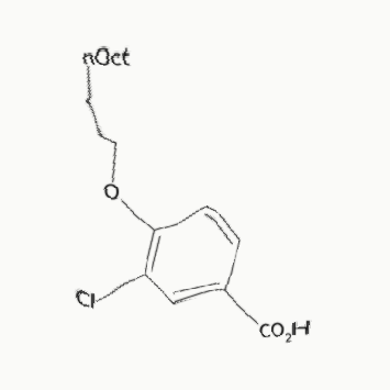 CCCCCCCCCCOc1ccc(C(=O)O)cc1Cl